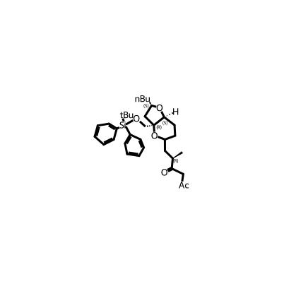 CCCC[C@H]1C[C@]2(CO[Si](c3ccccc3)(c3ccccc3)C(C)(C)C)OC(C[C@@H](C)C(=O)CC(C)=O)CC[C@@H]2O1